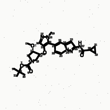 CO[C@H]1CN(C(=O)OC(C)(C)C)C[C@H]1Oc1cnn(C)c1-c1ccn2nc(NC(=O)C3CC3)cc2c1